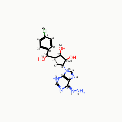 N/N=c1/nc[nH]c2c1ncn2[C@@H]1C[C@H]([C@@H](O)c2ccc(Cl)cc2)[C@@H](O)[C@H]1O